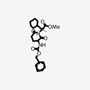 COC(=O)[C@](C)(C1CCCCC1)N1C(=O)CCC(NC(=O)OCc2ccccc2)C1=O